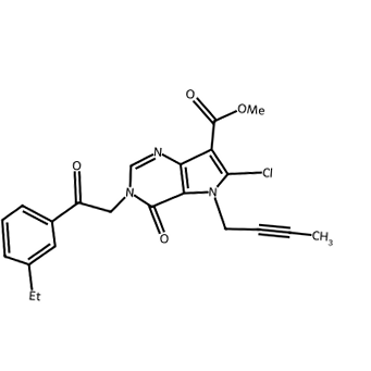 CC#CCn1c(Cl)c(C(=O)OC)c2ncn(CC(=O)c3cccc(CC)c3)c(=O)c21